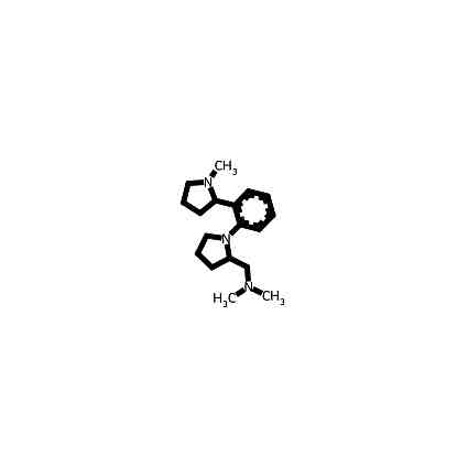 CN(C)CC1CCCN1c1ccccc1C1CCCN1C